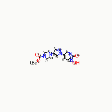 CC(C)(C)OC(=O)N1CCN(c2cnn(C3=CC4CN(C3)C(=O)N4O)c2)CC1